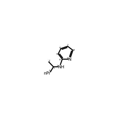 CCCC(C)Nc1ccccn1